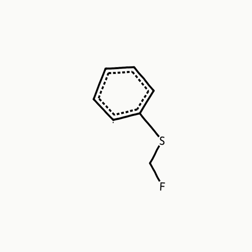 FCSc1[c]cccc1